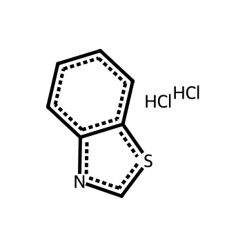 Cl.Cl.c1ccc2scnc2c1